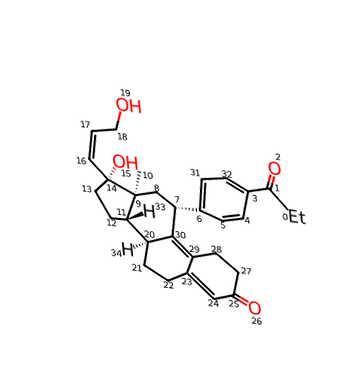 CCC(=O)c1ccc([C@H]2C[C@@]3(C)[C@@H](CC[C@@]3(O)/C=C\CO)[C@@H]3CCC4=CC(=O)CCC4=C32)cc1